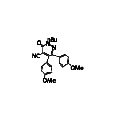 CCCCn1nc(-c2ccc(OC)cc2)c(-c2ccc(OC)cc2)c(C#N)c1=O